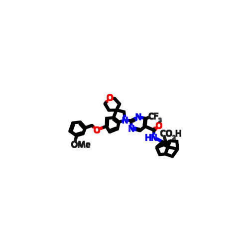 COc1cccc(COc2ccc3c(c2)C2(CCOCC2)CN3c2ncc(C(=O)NC3(C(=O)O)C4CC5CC6CC3C56C4)c(C(F)(F)F)n2)c1